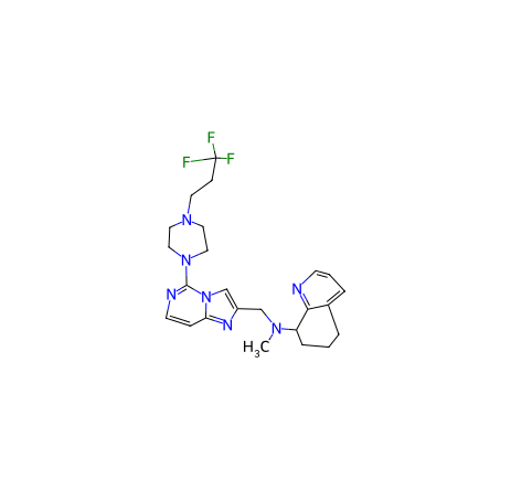 CN(Cc1cn2c(N3CCN(CCC(F)(F)F)CC3)nccc2n1)C1CCCc2cccnc21